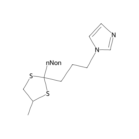 CCCCCCCCCC1(CCCn2ccnc2)SCC(C)S1